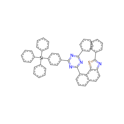 c1ccc(-c2nc(-c3ccc([Si](c4ccccc4)(c4ccccc4)c4ccccc4)cc3)nc(-c3cccc4ccc5nc(-c6ccccc6)sc5c34)n2)cc1